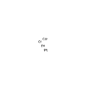 [Co].[Cr].[Fe].[Pt]